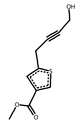 COC(=O)c1csc(CC#CCO)c1